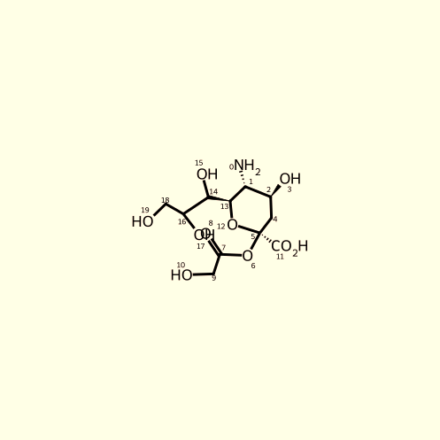 N[C@@H]1[C@@H](O)C[C@](OC(=O)CO)(C(=O)O)O[C@H]1C(O)C(O)CO